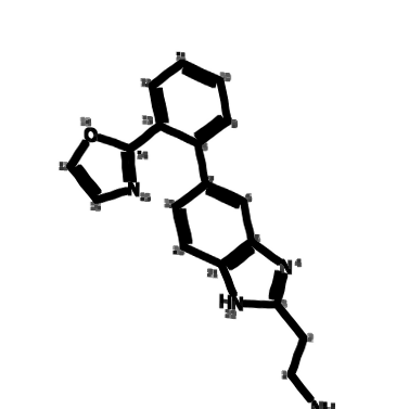 NCCc1nc2cc(-c3ccccc3-c3ncco3)ccc2[nH]1